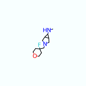 CNC1C2CN(CC3(F)CCOCC3)CC21